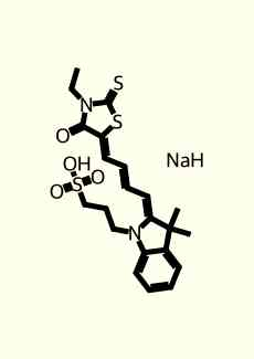 CCN1C(=O)C(=CC=CC=C2N(CCCS(=O)(=O)O)c3ccccc3C2(C)C)SC1=S.[NaH]